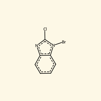 Clc1nc2ccccc2n1Br